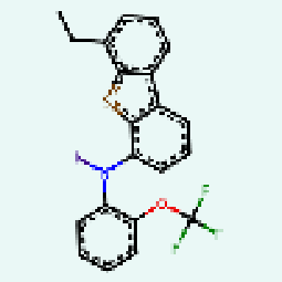 CCc1cccc2c1sc1c(N(I)c3ccccc3OC(F)(F)F)cccc12